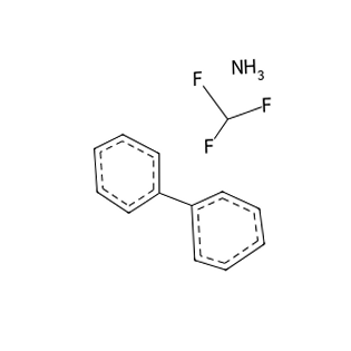 FC(F)F.N.c1ccc(-c2ccccc2)cc1